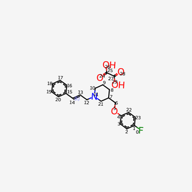 Fc1ccc(OCC2CCCN(C/C=C/c3ccccc3)C2)cc1.O=C(O)C(=O)O